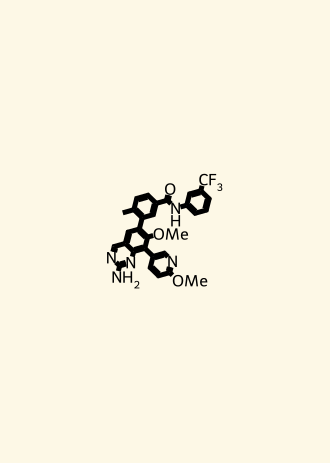 COc1ccc(-c2c(OC)c(-c3cc(C(=O)Nc4cccc(C(F)(F)F)c4)ccc3C)cc3cnc(N)nc23)cn1